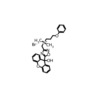 C[N+](C)(CCCOc1ccccc1)Cc1noc(C2(O)c3ccccc3Oc3ccccc32)n1.[Br-]